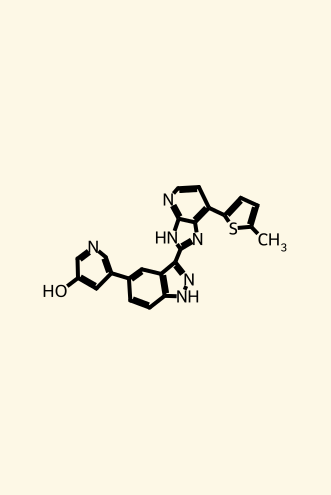 Cc1ccc(-c2ccnc3[nH]c(-c4n[nH]c5ccc(-c6cncc(O)c6)cc45)nc23)s1